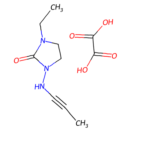 CC#CNN1CCN(CC)C1=O.O=C(O)C(=O)O